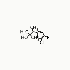 CC(c1ccc(F)c(Cl)c1)C(C)(C)O